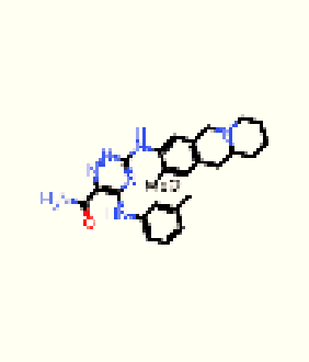 COc1cc2c(cc1Nc1nnc(C(N)=O)c(Nc3cccc(C)c3)n1)CN1CCCCC1C2